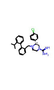 CC(C)c1ccccc1-c1ccccc1CN1CCN(C(=N)N)C[C@H]1c1ccc(Cl)cc1